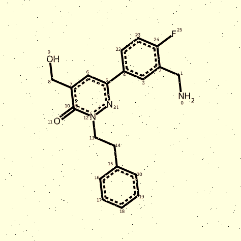 NCc1cc(-c2cc(CO)c(=O)n(CCc3ccccc3)n2)ccc1F